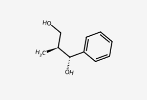 C[C@@H](CO)[C@@H](O)c1ccccc1